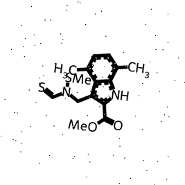 COC(=O)c1[nH]c2c(C)ccc(C)c2c1CN(C=S)SC